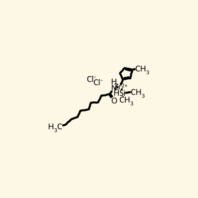 CCCCCCCCCC(=O)[NH][Zr+2]([C]1=CC(C)=CC1)[SiH](C)C.[Cl-].[Cl-]